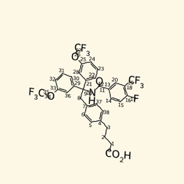 O=C(O)CCCc1ccc(CC(NC(=O)c2ccc(F)c(C(F)(F)F)c2)(c2cccc(OC(F)(F)F)c2)c2cccc(OC(F)(F)F)c2)cc1